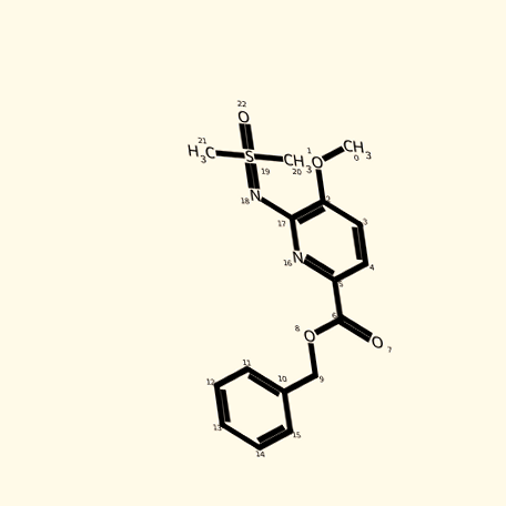 COc1ccc(C(=O)OCc2ccccc2)nc1N=S(C)(C)=O